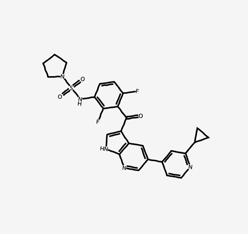 O=C(c1c(F)ccc(NS(=O)(=O)N2CCCC2)c1F)c1c[nH]c2ncc(-c3ccnc(C4CC4)c3)cc12